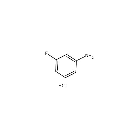 Cl.Nc1cccc(F)c1